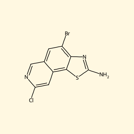 Nc1nc2c(Br)cc3cnc(Cl)cc3c2s1